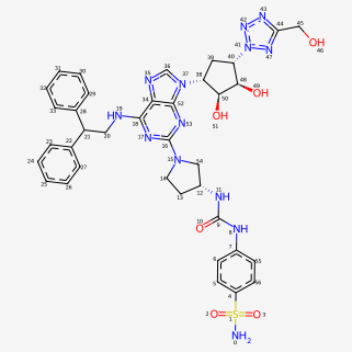 NS(=O)(=O)c1ccc(NC(=O)N[C@@H]2CCN(c3nc(NCC(c4ccccc4)c4ccccc4)c4ncn([C@@H]5C[C@H](n6nnc(CO)n6)[C@@H](O)[C@H]5O)c4n3)C2)cc1